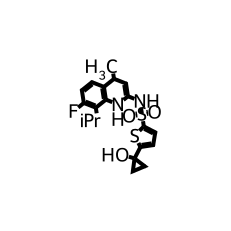 CC(C)c1c(F)ccc2c1NC(NS(=O)(=O)c1ccc(C3(O)CC3)s1)=CC2C